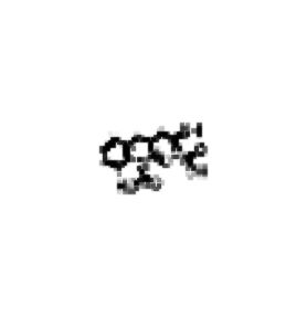 N=C(CC(Cc1ccccc1)C(=O)OC(=O)O)OC(=O)O